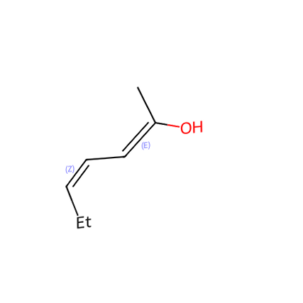 CC/C=C\C=C(/C)O